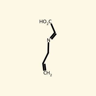 C=CCN=CC(=O)O